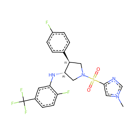 Cn1cnc(S(=O)(=O)N2C[C@H](Nc3cc(C(F)(F)F)ccc3F)[C@@H](c3ccc(F)cc3)C2)c1